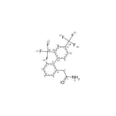 NC(=O)Cc1ccccc1-c1ccc(C(F)(F)F)cc1C(F)(F)F